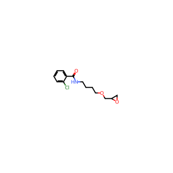 O=C(NCCCCOCC1CO1)c1ccccc1Cl